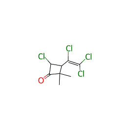 CC1(C)C(=O)C(Cl)C1C(Cl)=C(Cl)Cl